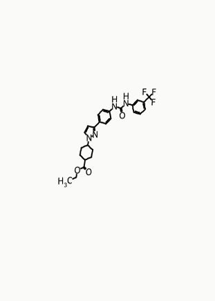 CCOC(=O)C1CCC(n2ccc(-c3ccc(NC(=O)Nc4cccc(C(F)(F)F)c4)cc3)n2)CC1